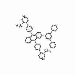 Cc1cnccc1-c1ccc(-c2c3ccccc3c(-c3ccc(-c4ccncc4C)cc3)c3cc(-c4cc(-c5ccccc5)cc(-c5ccccc5)c4)ccc23)cc1